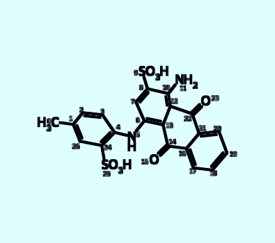 Cc1ccc(Nc2cc(S(=O)(=O)O)c(N)c3c2C(=O)c2ccccc2C3=O)c(S(=O)(=O)O)c1